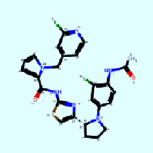 CC(=O)Nc1ccc(N2CCC[C@@H]2c2csc(NC(=O)c3cccn3Cc3ccnc(F)c3)n2)cc1F